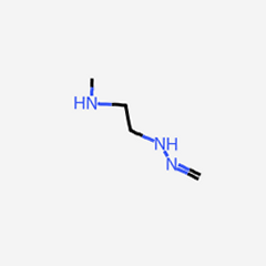 C=NNCCNC